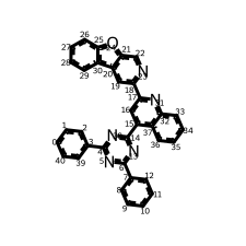 c1ccc(-c2nc(-c3ccccc3)nc(-c3cc(-c4cc5c(cn4)oc4ccccc45)nc4ccccc34)n2)cc1